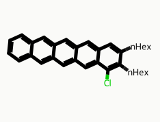 CCCCCCc1cc2cc3cc4cc5ccccc5cc4cc3cc2c(Cl)c1CCCCCC